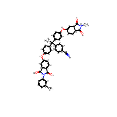 Cc1cccc(N2C(=O)c3ccc(Oc4ccc(C(C)(c5ccc(C#N)cc5)c5ccc(OC6=CC7C(=O)N(C)C(=O)C7C=C6)cc5)cc4)cc3C2=O)c1